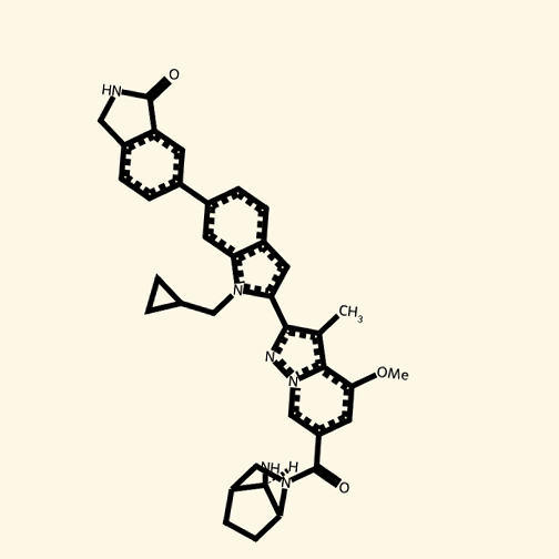 COc1cc(C(=O)N2CC3CCC2[C@@H]3N)cn2nc(-c3cc4ccc(-c5ccc6c(c5)C(=O)NC6)cc4n3CC3CC3)c(C)c12